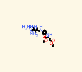 CCOC(=O)CC[C@H](Nc1ccc(NCc2cnc3nc(N)nc(N)c3c2C)cc1)C(=O)OCC